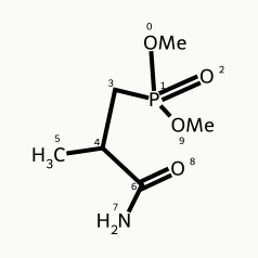 COP(=O)(CC(C)C(N)=O)OC